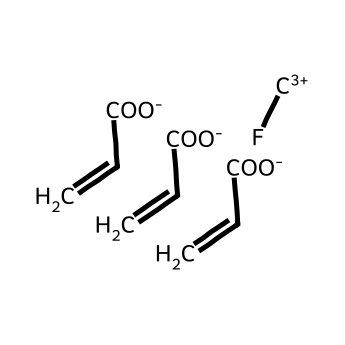 C=CC(=O)[O-].C=CC(=O)[O-].C=CC(=O)[O-].[C+3]F